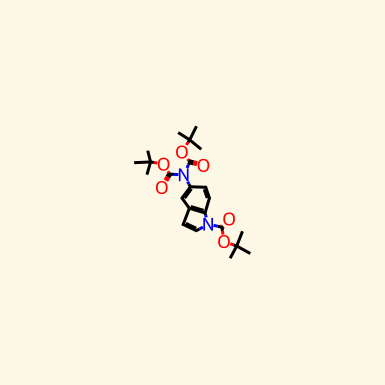 CC(C)(C)OC(=O)N(C(=O)OC(C)(C)C)c1ccc2c(ccn2C(=O)OC(C)(C)C)c1